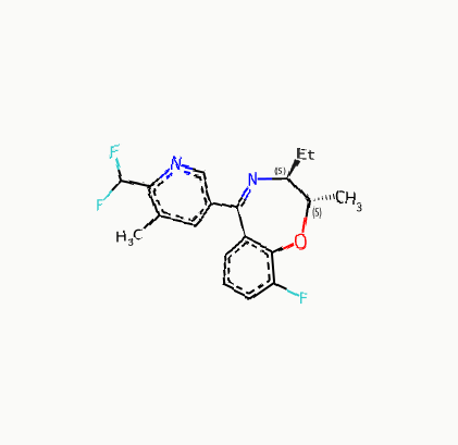 CC[C@@H]1N=C(c2cnc(C(F)F)c(C)c2)c2cccc(F)c2O[C@H]1C